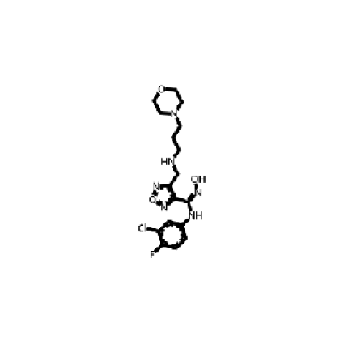 O/N=C(/Nc1ccc(F)c(Cl)c1)c1nonc1CNCCCN1CCOCC1